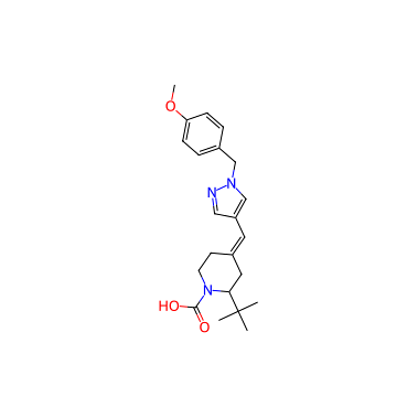 COc1ccc(Cn2cc(C=C3CCN(C(=O)O)C(C(C)(C)C)C3)cn2)cc1